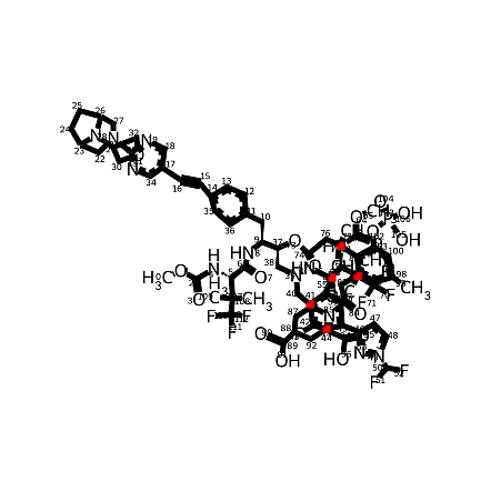 COC(=O)N[C@H](C(=O)N[C@@H](Cc1ccc(C#Cc2cnc(N3CC4CCC(C3)N4C3COC3)nc2)cc1)[C@H](CN(Cc1c(F)cc(-c2ccn(C(F)F)n2)cc1F)NC(=O)[C@@H](NC(=O)OC)C(C)(C)C(F)(F)F)OC(=O)CC(C)(C)c1c(CC(=O)N2CCC(C(=O)O)CC2C(=O)O)cc(C)cc1OP(=O)(O)O)C(C)(C)C(F)(F)F